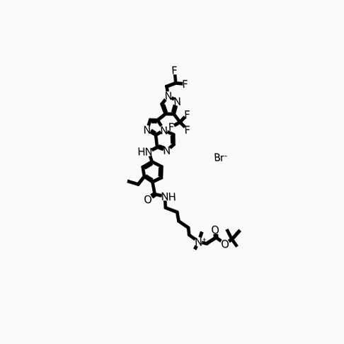 CCc1cc(Nc2nccn3c(-c4cn(CC(F)F)nc4C(F)(F)F)cnc23)ccc1C(=O)NCCCCC[N+](C)(C)CC(=O)OC(C)(C)C.[Br-]